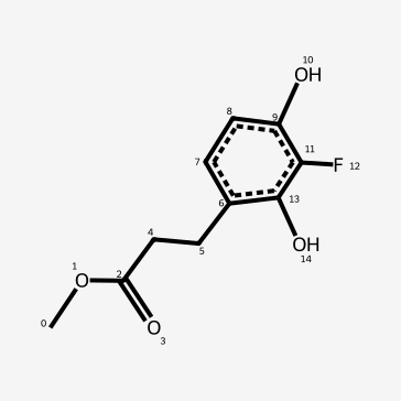 COC(=O)CCc1ccc(O)c(F)c1O